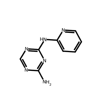 Nc1ncnc(Nc2ccccn2)n1